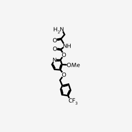 COc1c(OCc2ccc(C(F)(F)F)cc2)ccnc1OC(=O)NC(=O)CN